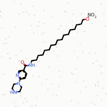 O=C(NCCCCCCCCCCCCCCCCCO[N+](=O)[O-])c1ccc(N2CCNCC2)nc1